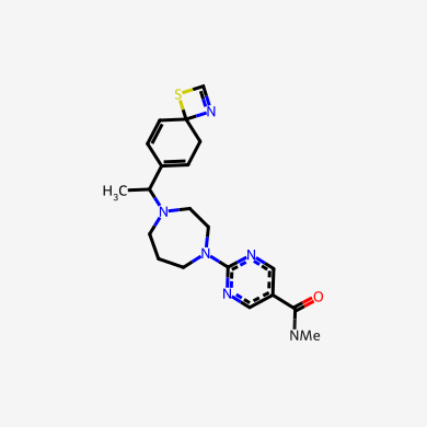 CNC(=O)c1cnc(N2CCCN(C(C)C3=CCC4(C=C3)N=CS4)CC2)nc1